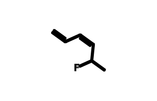 C=C/C=C\C(C)F